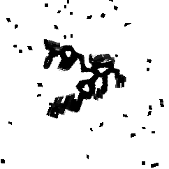 Cc1nc(CC(C)C)c(CN)c(-c2ccc(CN)cc2)c1CSc1ccc(C(N)=O)cc1.Cl.Cl